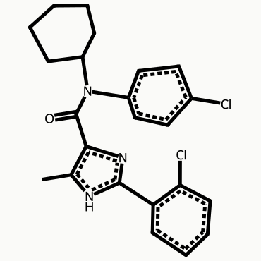 Cc1[nH]c(-c2ccccc2Cl)nc1C(=O)N(c1ccc(Cl)cc1)C1CCCCC1